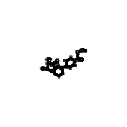 CC(C)N1C(=O)OC2(CCCN(C3CCN(C(=O)OC(C)(C)C)CC3)C2)C1=O